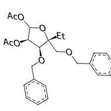 CC[C@]1(COCc2ccccc2)OC(OC(C)=O)[C@H](OC(C)=O)[C@@H]1OCc1ccccc1